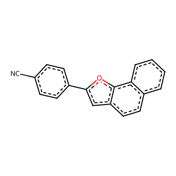 N#Cc1ccc(-c2cc3ccc4ccccc4c3o2)cc1